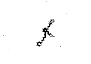 COC(=O)C=Cc1c(C#CCCCCOC2CCCCO2)cccc1OCCCCS(C)(=O)=O